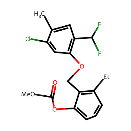 CCc1cccc(OC(=O)OC)c1COc1cc(Cl)c(C)cc1C(F)F